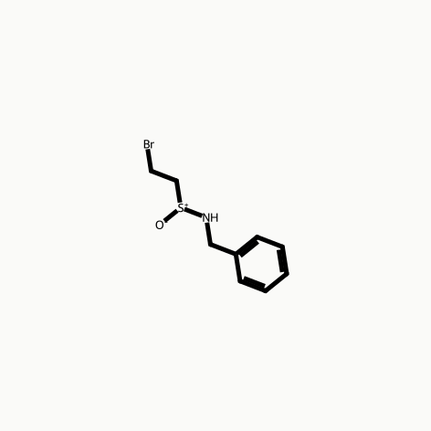 [O-][S+](CCBr)NCc1ccccc1